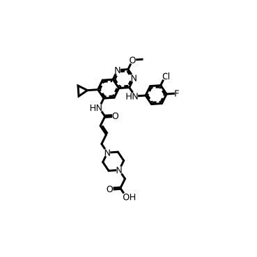 COc1nc(Nc2ccc(F)c(Cl)c2)c2cc(NC(=O)C=CCN3CCN(CC(=O)O)CC3)c(C3CC3)cc2n1